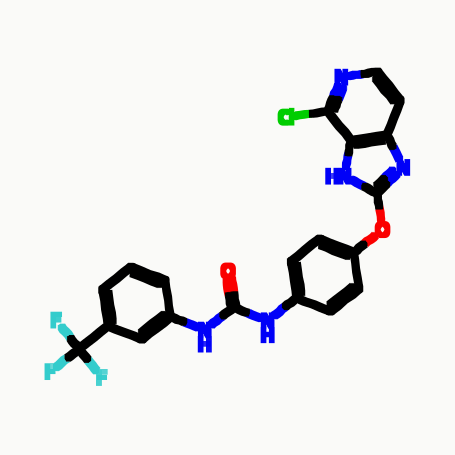 O=C(Nc1ccc(Oc2nc3ccnc(Cl)c3[nH]2)cc1)Nc1cccc(C(F)(F)F)c1